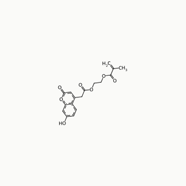 C=C(C)C(=O)OCCOC(=O)Cc1cc(=O)oc2cc(O)ccc12